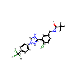 CC(C)(C)C(=O)NCc1ccc(Cl)c(C2=NN(c3ccc(C(F)(F)F)cc3)CN2)c1